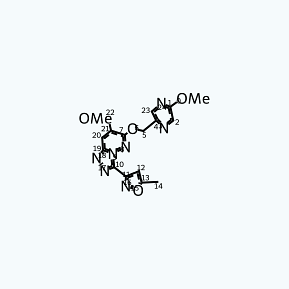 COc1cnc(COc2nn3c(-c4cc(C)on4)nnc3cc2OC)cn1